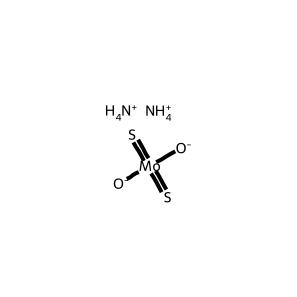 [NH4+].[NH4+].[O-][Mo]([O-])(=[S])=[S]